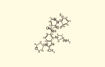 Cc1nc2c(N3CCC(N)C3)c(NC(=O)c3ccnn(-c4c(F)cccc4F)c3=O)ccc2n1C1CCOCC1